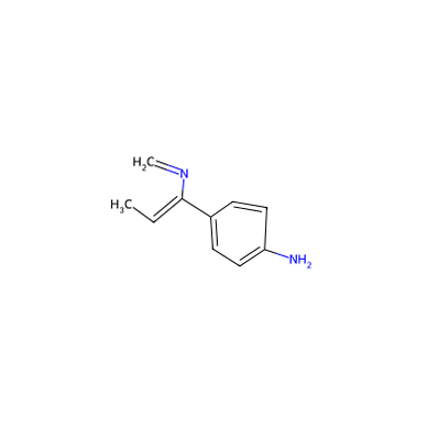 C=N/C(=C\C)c1ccc(N)cc1